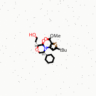 COC(=O)c1sc(C(C)(C)C)cc1N1C(=O)[C@@H](CCO)OC[C@H]1C1CCCCC1